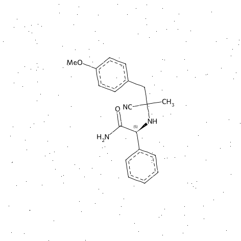 COc1ccc(CC(C)(C#N)N[C@H](C(N)=O)c2ccccc2)cc1